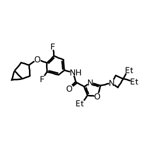 CCc1oc(N2CC(CC)(CC)C2)nc1C(=O)Nc1cc(F)c(OC2CC3CC3C2)c(F)c1